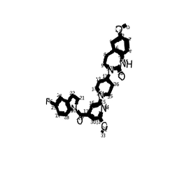 COc1ccc2c(c1)CCN(C1CCN(c3cc(C(=O)N4CCc5cc(F)ccc54)cc(OC)n3)CC1)C(=O)N2